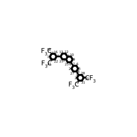 FC(F)(F)c1cc(-c2ccc(-c3ccc4ccc(-c5cc(C(F)(F)F)cc(C(F)(F)F)c5)cc4c3)cc2)cc(C(F)(F)F)c1